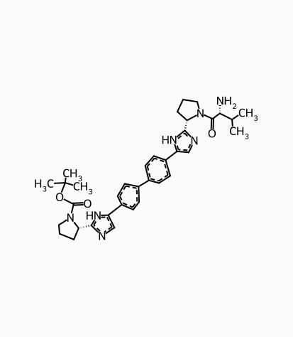 CC(C)[C@@H](N)C(=O)N1CCC[C@H]1c1ncc(-c2ccc(-c3ccc(-c4cnc([C@@H]5CCCN5C(=O)OC(C)(C)C)[nH]4)cc3)cc2)[nH]1